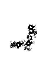 Cc1ccccc1-c1nnn(C)c1C(=O)N1CCN(c2cc(NC(=O)c3ccc(NS(C)(=O)=O)cc3)c([N+](=O)[O-])cc2Cl)CC1